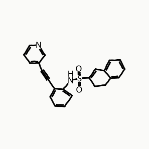 O=S(=O)(Nc1ccccc1C#Cc1cccnc1)C1=Cc2ccccc2CC1